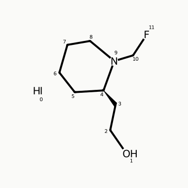 I.OCC[C@H]1CCCCN1CF